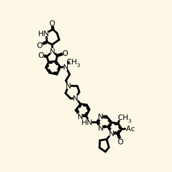 CC(=O)c1c(C)c2cnc(Nc3ccc(N4CCN(CCN(C)c5cccc6c5C(=O)N(C5CCC(=O)NC5=O)C6=O)CC4)cn3)nc2n(C2CCCC2)c1=O